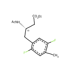 CCOC(=O)C[C@H](Cc1cc(F)c(C)cc1F)NC(C)=O